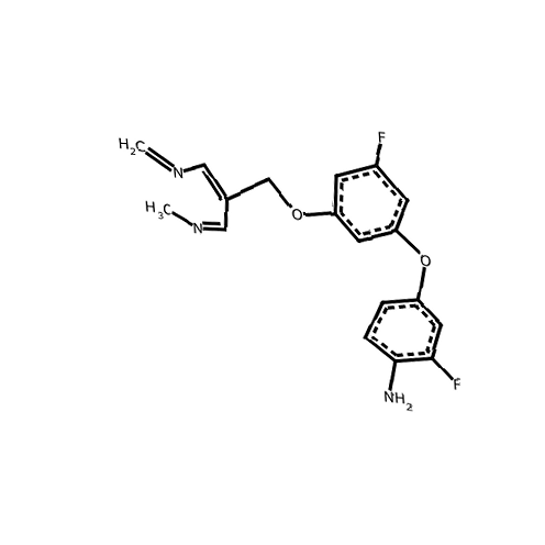 C=N/C=C(\C=N/C)COc1cc(F)cc(Oc2ccc(N)c(F)c2)c1